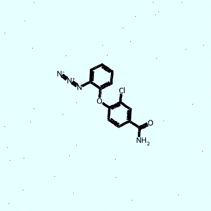 [N-]=[N+]=Nc1ccccc1Oc1ccc(C(N)=O)cc1Cl